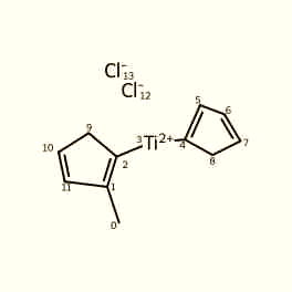 CC1=[C]([Ti+2][C]2=CC=CC2)CC=C1.[Cl-].[Cl-]